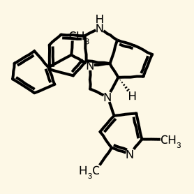 Cc1cc(N2CN(C(C)c3ccccc3)C34C(=CC=C[C@@H]23)Nc2ccccc24)cc(C)n1